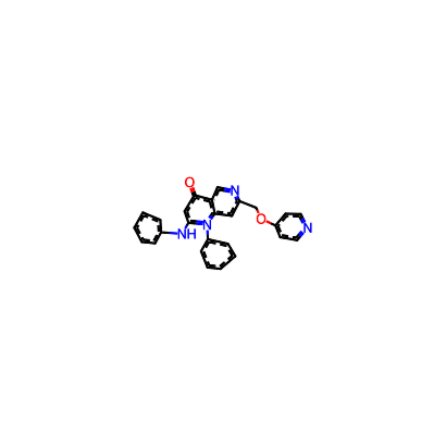 O=c1cc(Nc2ccccc2)n(-c2ccccc2)c2cc(COc3ccncc3)ncc12